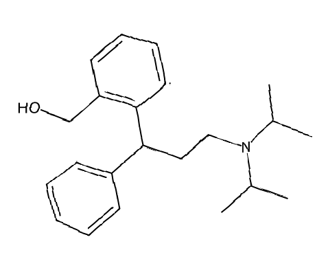 CC(C)N(CCC(c1ccccc1)c1[c]cccc1CO)C(C)C